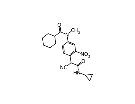 CN(C(=O)C1CCCCC1)c1ccc(C(C#N)C(=O)NC2CC2)c([N+](=O)[O-])c1